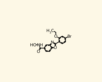 CCOc1cc(Br)ccc1-c1nc2cc(C(=O)NO)ccc2o1